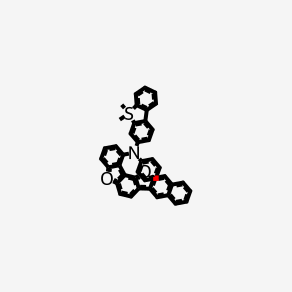 CS1(C)c2ccccc2-c2ccc(N(c3ccccc3)c3cccc4oc5ccc6c7cc8ccccc8cc7oc6c5c34)cc21